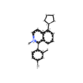 CCc1ccc(-c2c3cccc(C4CCCC4)c3cc[n+]2C)c(C)c1